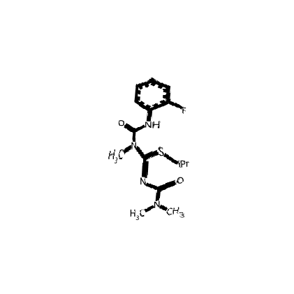 CC(C)SC(=NC(=O)N(C)C)N(C)C(=O)Nc1ccccc1F